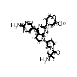 CC(C)(N)C(=O)N1CC[C@H](N2CCc3c(-c4cnc(N)nc4)nc(N4CCOCC4)nc32)C1.Cl